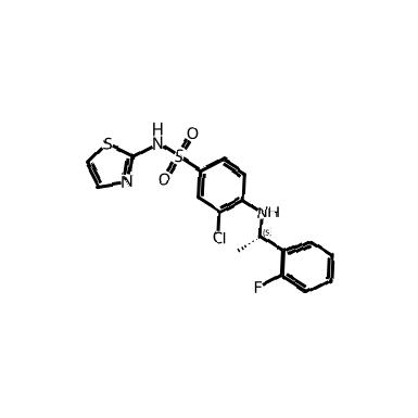 C[C@H](Nc1ccc(S(=O)(=O)Nc2nccs2)cc1Cl)c1ccccc1F